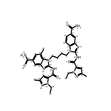 CCn1nc(C)cc1C(=O)Nc1nc2cc(C(N)=O)ccc2n1CCCCn1c(NC(=O)c2cc(C)nn2CC)nc2cc(C(N)=O)cc(C)c21